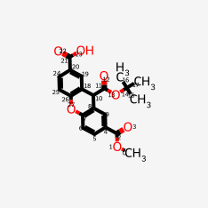 COC(=O)c1ccc2c(c1)C(C(=O)OC(C)(C)C)c1cc(C(=O)O)ccc1O2